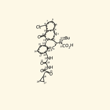 C[C@@H](c1nc2cccc(Cl)c2c(=O)n1-c1cccc(NC(=O)NS(=O)(=O)C2CC2)c1)N(C(=O)O)C(C)(C)C